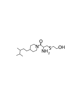 CC(C)C(C)CCC1CCN(C(=O)C(N)CSCCO)CC1